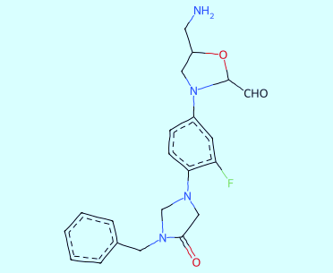 NCC1CN(c2ccc(N3CC(=O)N(Cc4ccccc4)C3)c(F)c2)C(C=O)O1